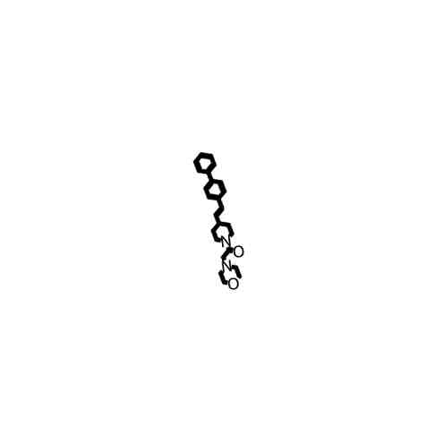 O=C(CN1CCOCC1)N1CCC(/C=C/c2ccc(-c3ccccc3)cc2)CC1